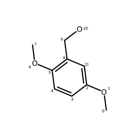 COc1ccc(OC)c(C[O])c1